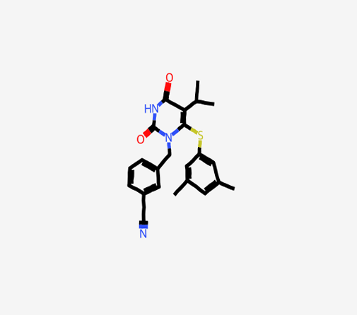 Cc1cc(C)cc(Sc2c(C(C)C)c(=O)[nH]c(=O)n2Cc2cccc(C#N)c2)c1